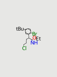 CCOC(=N)C(CCCCl)c1cc(C(C)(C)C)ccc1Br